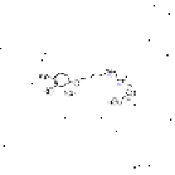 CCCC[C@@H]1O[C@H]1/C=C/C=C\CCCCOc1ccc(C(C)=O)c(O)c1CCC